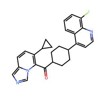 O=C(c1c(C2CC2)ccc2cncn12)C1CCC(c2ccnc3c(F)cccc23)CC1